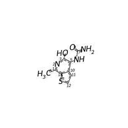 Cc1nc(O)c(NC(N)=O)c2ccsc12